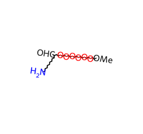 COCCOCCOCCOCCOCCOCCOCCC(C=O)CCCCCCCCCN